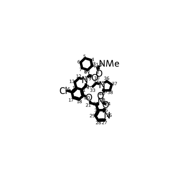 CNC(=O)[C@H]1CCCC[C@H]1C(=O)N1CCc2c(Cl)ccc(OCc3noc4ncccc34)c2[C@H]1CCN1CCCC1=O